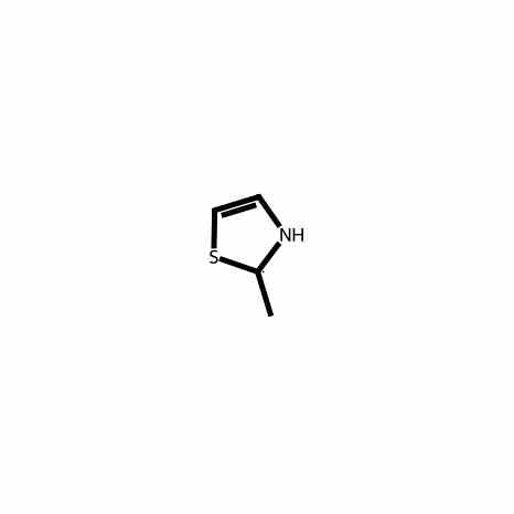 C[C]1NC=CS1